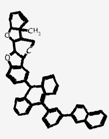 CC12C=CC=CC1OC1C3Oc4ccc(C5c6ccccc6C(c6cccc(-c7ccc8ccccc8c7)c6)=C6C=CC=CC65)cc4C3CCC12